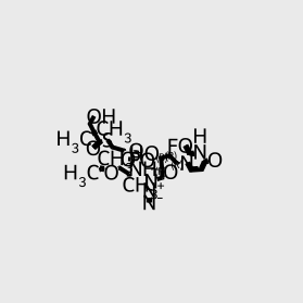 CC(COC(C)C)NP(=O)(OCCSC(=O)C(C)(C)CO)OC[C@@]1(CN=[N+]=[N-])O[C@@H](n2ccc(=O)[nH]c2=O)[C@H](F)[C@@H]1O